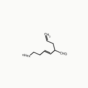 C=CCC(C=O)C=CCCCCCCCC